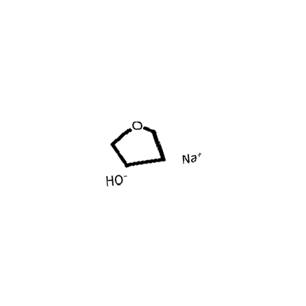 C1CCOC1.[Na+].[OH-]